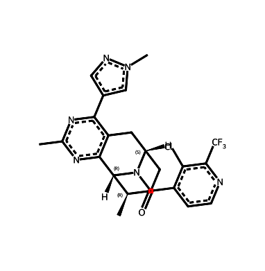 Cc1nc(-c2cnn(C)c2)c2c(n1)[C@H]1[C@H](C)CC[C@@H](C2)N1C(=O)c1ccnc(C(F)(F)F)c1Cl